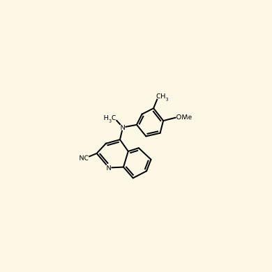 COc1ccc(N(C)c2cc(C#N)nc3ccccc23)cc1C